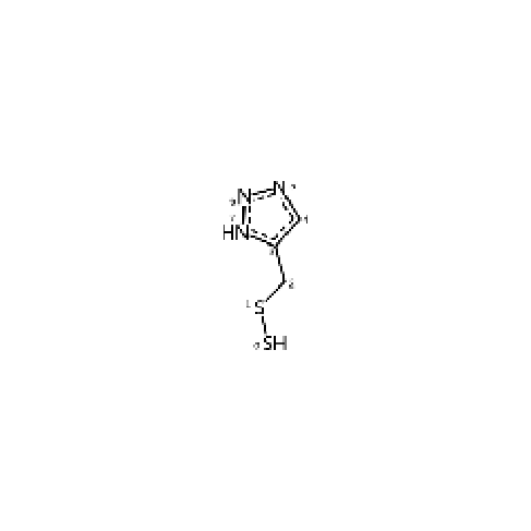 SSCc1cnn[nH]1